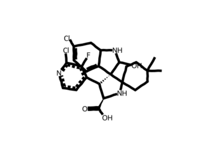 CC1(C)CCC2(CC1)N[C@@H](C(=O)O)C(c1ccnc(Cl)c1F)[C@@]21C2=CC=C(Cl)CC2NC1O